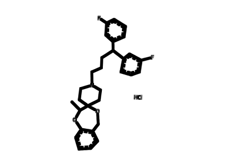 CC1Oc2ccccc2COC12CCN(CCCC(c1cccc(F)c1)c1cccc(F)c1)CC2.Cl